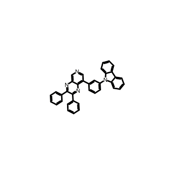 c1ccc(-c2nc3cncc(-c4cccc(-n5c6ccccc6c6ccccc65)c4)c3nc2-c2ccccc2)cc1